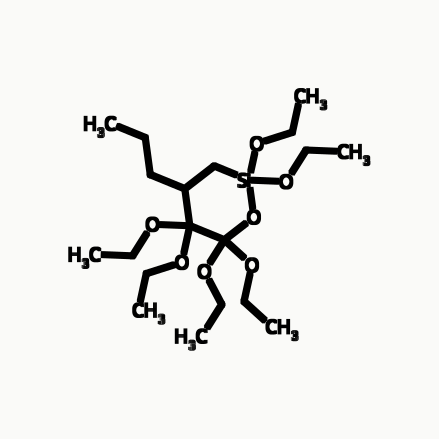 CCCC1C[Si](OCC)(OCC)OC(OCC)(OCC)C1(OCC)OCC